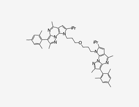 Cc1cc(C)c(-c2c(C)nn3c2nc(C)c2cc(C(C)C)n(CCCOCCCn4c(C(C)C)cc5c(C)nc6c(-c7c(C)cc(C)cc7C)c(C)nn6c54)c23)c(C)c1